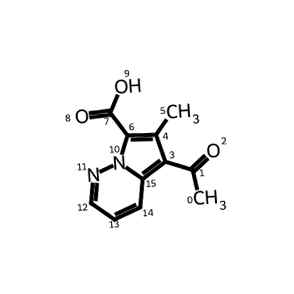 CC(=O)c1c(C)c(C(=O)O)n2ncccc12